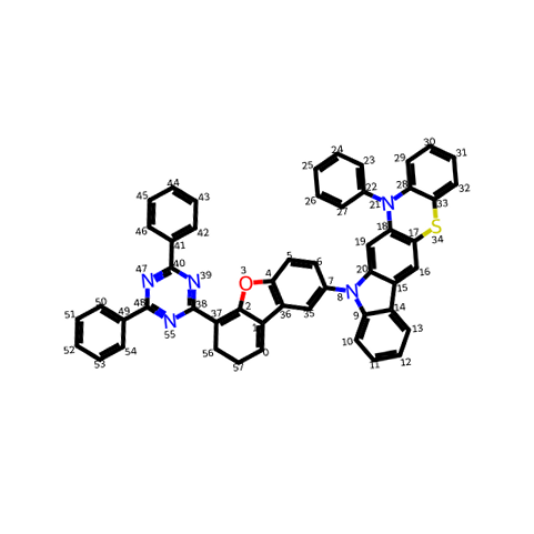 C1=c2c(oc3ccc(-n4c5ccccc5c5cc6c(cc54)N(c4ccccc4)c4ccccc4S6)cc23)=C(c2nc(-c3ccccc3)nc(-c3ccccc3)n2)CC1